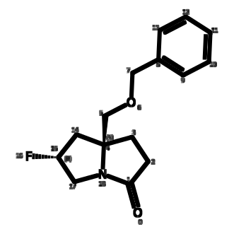 O=C1CC[C@@]2(COCc3ccccc3)C[C@@H](F)CN12